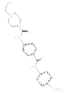 COc1ccc(NC(=O)c2ccc(NC(=O)N3CCN(C[C](C)C)CC3)cc2)cc1